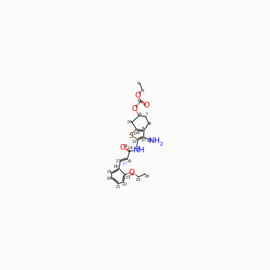 CCOC(=O)OC1CCc2c(sc(NC(=O)/C=C/c3ccccc3OCC)c2N)C1